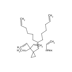 C=CCCCCC(=CC1(C(C=C)(C=C)C=C)CC1)CCCCC=C.C=CCCCCCC